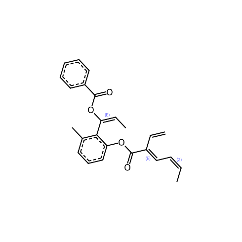 C=C/C(=C\C=C/C)C(=O)Oc1cccc(C)c1/C(=C\C)OC(=O)c1ccccc1